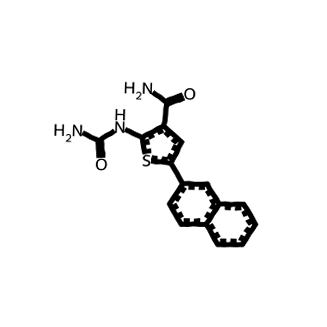 NC(=O)Nc1sc(-c2ccc3ccccc3c2)cc1C(N)=O